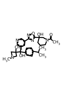 CC(=O)N1CCCC(O)(c2nc(-c3cncc(C(O)(c4ccc(C(C)C)cc4)C4(C)CN(C)C4)c3)no2)C1